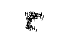 CCS(=O)(=O)c1ccc(CNC(=O)c2ccc(OC(C)C)c(C(=O)O)c2)cc1